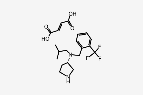 CC(C)CN(Cc1ccccc1C(F)(F)F)[C@H]1CCNC1.O=C(O)C=CC(=O)O